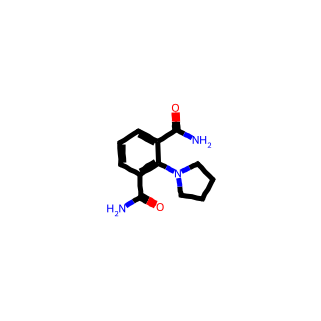 NC(=O)c1cccc(C(N)=O)c1N1CCCC1